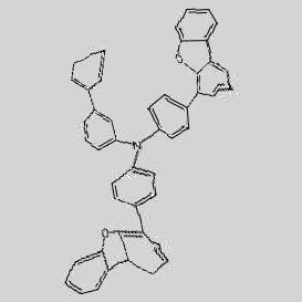 C1=CC(c2cccc(N(c3ccc(C4=C5Oc6ccccc6C5CC=C4)cc3)c3ccc(-c4cccc5c4oc4ccccc45)cc3)c2)=CCC1